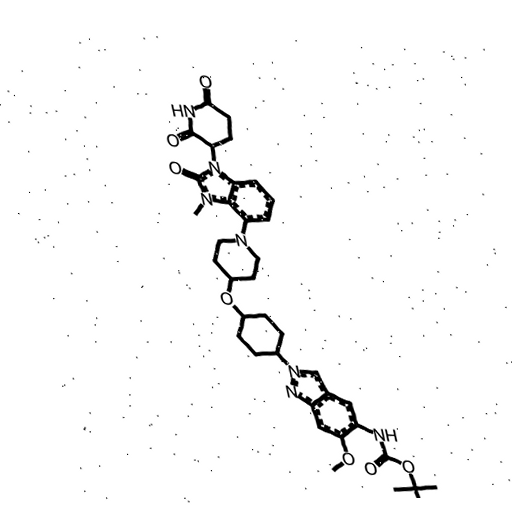 COc1cc2nn(C3CCC(OC4CCN(c5cccc6c5n(C)c(=O)n6C5CCC(=O)NC5=O)CC4)CC3)cc2cc1NC(=O)OC(C)(C)C